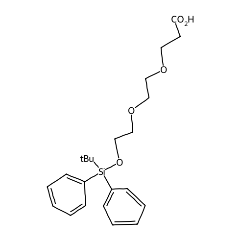 CC(C)(C)[Si](OCCOCCOCCC(=O)O)(c1ccccc1)c1ccccc1